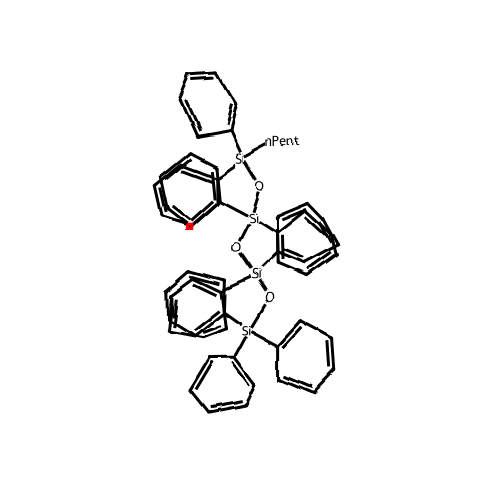 [CH2]CCCC[Si](O[Si](O[Si](O[Si](c1ccccc1)(c1ccccc1)c1ccccc1)(c1ccccc1)c1ccccc1)(c1ccccc1)c1ccccc1)(c1ccccc1)c1ccccc1